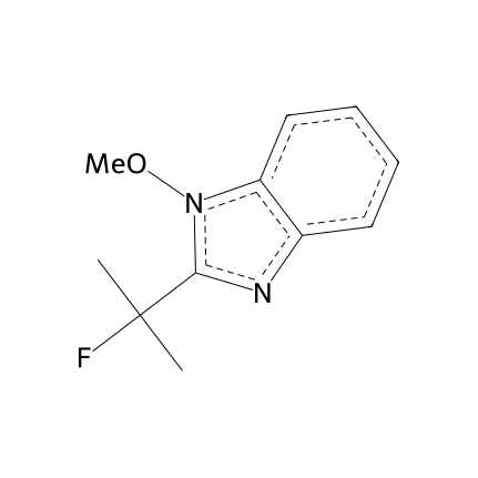 COn1c(C(C)(C)F)nc2ccccc21